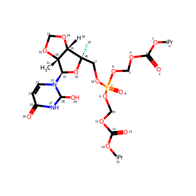 CC(C)OC(=O)OCOP(=O)(OCOC(=O)OC(C)C)OC[C@@]1(F)O[C@@H](N2C=CC(=O)NC2O)[C@]2(C)OCO[C@@H]21